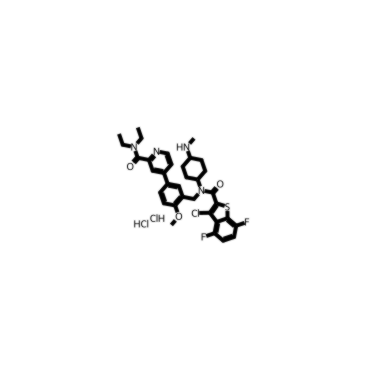 CCN(CC)C(=O)c1cc(-c2ccc(OC)c(CN(C(=O)c3sc4c(F)ccc(F)c4c3Cl)C3CCC(NC)CC3)c2)ccn1.Cl.Cl